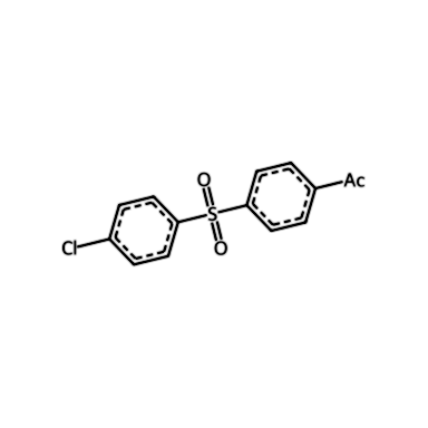 CC(=O)c1ccc(S(=O)(=O)c2ccc(Cl)cc2)cc1